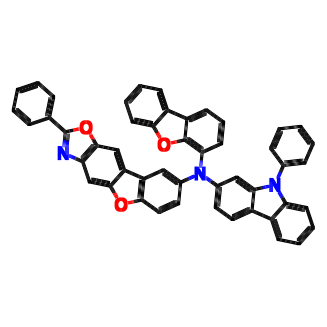 c1ccc(-c2nc3cc4oc5ccc(N(c6ccc7c8ccccc8n(-c8ccccc8)c7c6)c6cccc7c6oc6ccccc67)cc5c4cc3o2)cc1